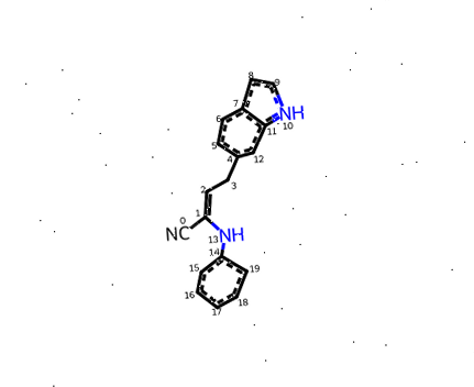 N#CC(=CCc1ccc2cc[nH]c2c1)Nc1ccccc1